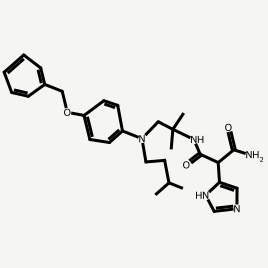 CC(C)CCN(CC(C)(C)NC(=O)C(C(N)=O)c1cnc[nH]1)c1ccc(OCc2ccccc2)cc1